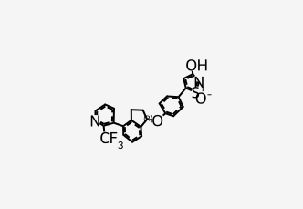 [O-][s+]1nc(O)cc1-c1ccc(O[C@@H]2CCc3c(-c4cccnc4C(F)(F)F)cccc32)cc1